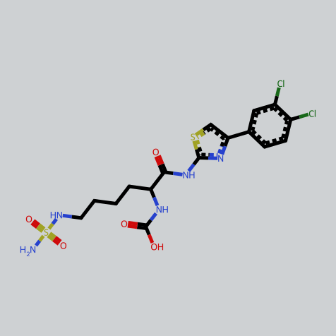 NS(=O)(=O)NCCCCC(NC(=O)O)C(=O)Nc1nc(-c2ccc(Cl)c(Cl)c2)cs1